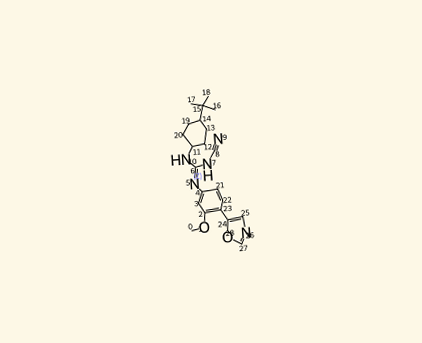 COc1cc(/N=C(\NC#N)NC2CCC(C(C)(C)C)CC2)ccc1-c1cnco1